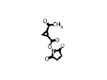 CC(=O)C1CC1C(=O)ON1C(=O)CCC1=O